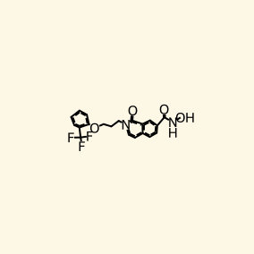 O=C(NO)c1ccc2ccn(CCCOc3ccccc3C(F)(F)F)c(=O)c2c1